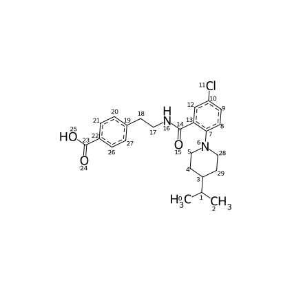 CC(C)C1CCN(c2ccc(Cl)cc2C(=O)NCCc2ccc(C(=O)O)cc2)CC1